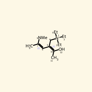 CC[N+](CC)(CC)CC(/C=C(/C)NC)=C(/C)O